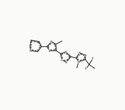 Cc1nc(-c2cccnc2)sc1-c1nc(-c2nnc(C(F)(F)F)n2C)no1